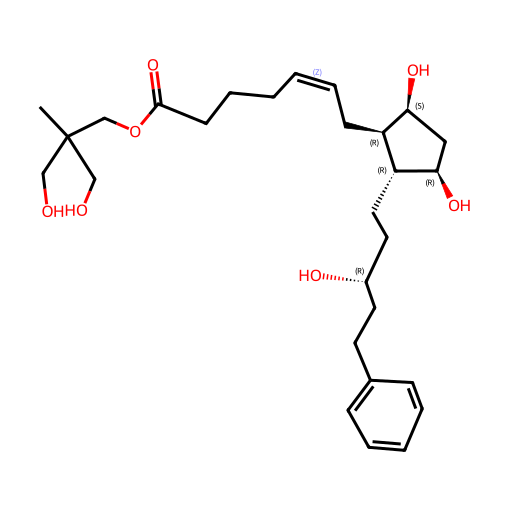 CC(CO)(CO)COC(=O)CCC/C=C\C[C@@H]1[C@@H](CC[C@@H](O)CCc2ccccc2)[C@H](O)C[C@@H]1O